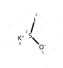 [K+].[O-]SI